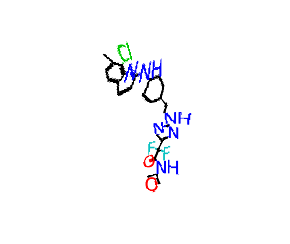 Cc1ccc2ccc(N[C@H]3CC[C@H](CCNc4ncc(C(F)(F)C(=O)NC5COC5)cn4)CC3)nc2c1Cl